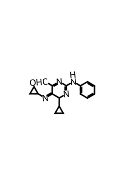 O=CC1=NC(Nc2ccccc2)=NC(C2CC2)C1=NC1CC1